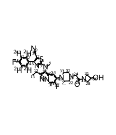 [2H]c1c([2H])c(-c2nc(N(C)c3c(CC)nn4cc(F)c(N5CCN(CC(=O)N6CC(O)C6)CC5)cc34)sc2C#N)c([2H])c([2H])c1F